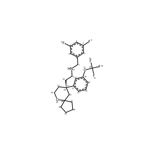 Fc1cc(F)cc(CNCC[C@]2(c3cccc(OC(F)(F)F)c3)CCOC3(CCCC3)C2)c1